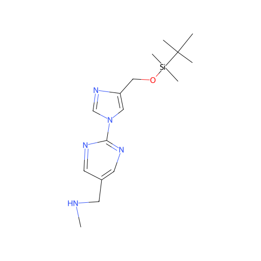 CNCc1cnc(-n2cnc(CO[Si](C)(C)C(C)(C)C)c2)nc1